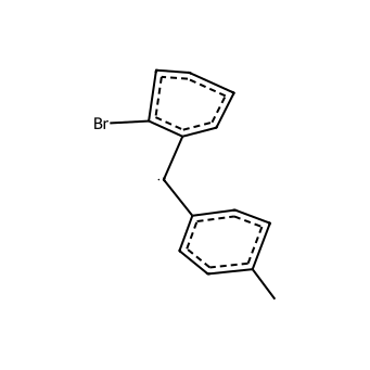 Cc1ccc([CH]c2ccccc2Br)cc1